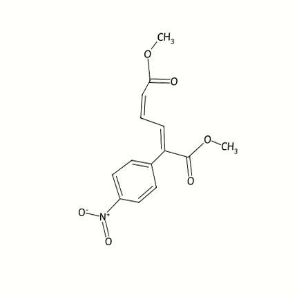 COC(=O)/C=C\C=C(\C(=O)OC)c1ccc([N+](=O)[O-])cc1